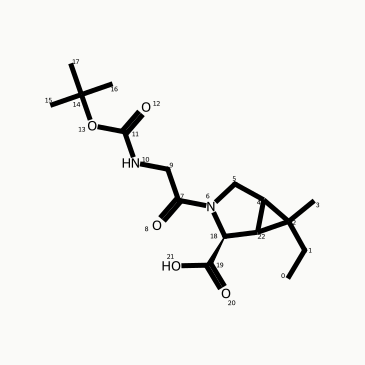 CCC1(C)C2CN(C(=O)CNC(=O)OC(C)(C)C)[C@H](C(=O)O)C21